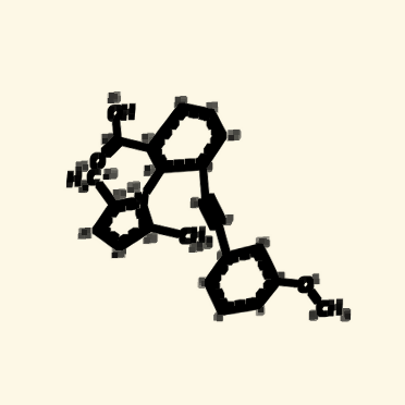 COc1cccc(C#Cc2cccc(C(=O)O)c2-n2c(C)ccc2C)c1